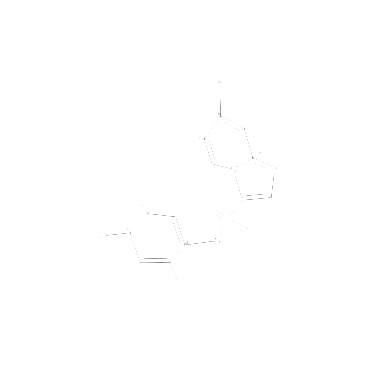 O=S(=O)(Nc1cc(F)c(Br)cc1F)c1cnc2cc(Cl)ccn12